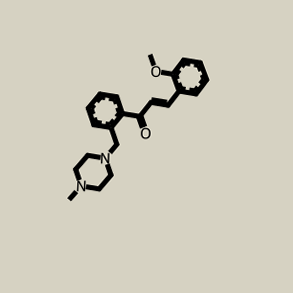 COc1ccccc1C=CC(=O)c1ccccc1CN1CCN(C)CC1